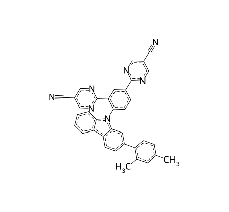 Cc1ccc(-c2ccc3c4ccccc4n(-c4ccc(-c5ncc(C#N)cn5)cc4-c4ncc(C#N)cn4)c3c2)c(C)c1